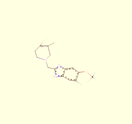 CC1CN(Cc2nc3cc(OC(F)(F)F)c(F)cc3[nH]2)CC[C@@]1(C)S